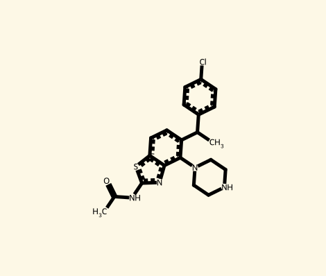 CC(=O)Nc1nc2c(N3CCNCC3)c(C(C)c3ccc(Cl)cc3)ccc2s1